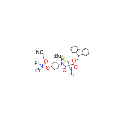 CC(C)N(C(C)C)P(OCCC#N)O[C@H]1CC[C@H](NC(=O)[C@@](N)(CSSC(C)(C)C)C(=O)OCC2c3ccccc3-c3ccccc32)CC1